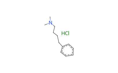 CN(C)CCCCc1ccccc1.Cl